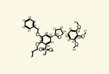 CCCOc1c(OCc2ccccc2)cc([C@H]2CC[C@H](c3cc(OC)c(OC)c(OC)c3)O2)cc1S(C)(=O)=O